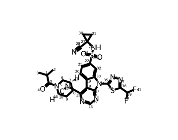 CC(C)C(=O)N1C[C@H]2CC[C@@H]1CN2c1ncnc2c1c1ccc(S(=O)(=O)NC3(C#N)CC3)cc1n2-c1nnc(C(F)F)s1